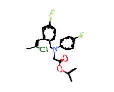 C/C(Cl)=C/c1cc(F)ccc1CN(CC(=O)OC(C)C)c1ccc(F)cc1